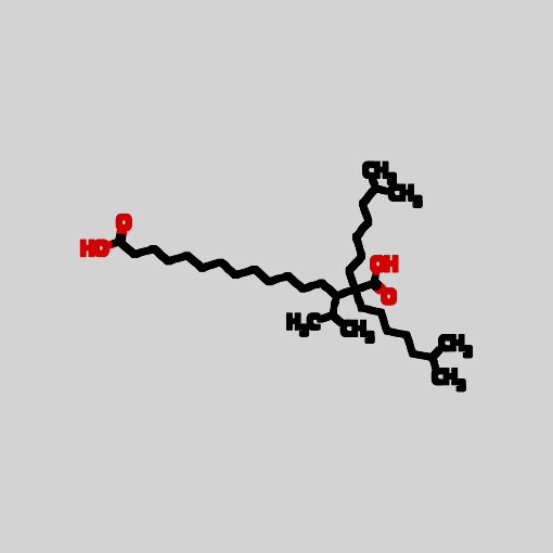 CC(C)CCCCCC(CCCCCC(C)C)(C(=O)O)C(CCCCCCCCCCCCC(=O)O)C(C)C